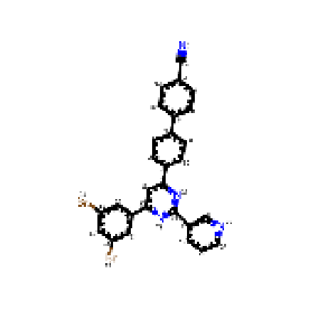 N#Cc1ccc(-c2ccc(-c3cc(-c4cc(Br)cc(Br)c4)nc(-c4cccnc4)n3)cc2)cc1